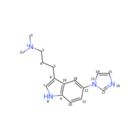 CN(C)CCCc1c[nH]c2ccc(-n3ccnc3)cc12